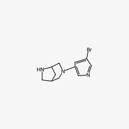 Brc1cncc(N2CC3CNC(C3)C2)c1